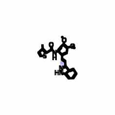 COc1cc(/C=C/c2n[nH]c3ccccc23)c(NC(=O)c2sccc2C)cc1OC